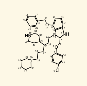 Clc1ccc(OCC2Nc3cccc(OCc4ccccc4)c3N2CCC(CCCN2CCCCC2)C2CCNCC2)cc1